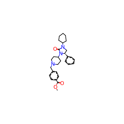 COC(=O)c1ccc(CN2CCC(N3C(=O)N(C4CCCCC4)C[C@H]3c3ccccc3)CC2)cc1